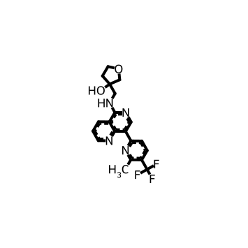 Cc1nc(-c2cnc(NCC3(O)CCOC3)c3cccnc23)ccc1C(F)(F)F